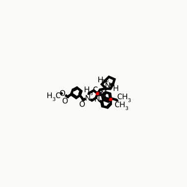 COC(=O)c1cccc(C(=O)N2CCC(CCN3[C@@H]4CC[C@H]3CC(n3c(C)nc5ccccc53)C4)(c3ccc(C(C)C)cc3)CC2)c1